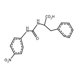 O=C(Nc1ccc([N+](=O)[O-])cc1)NC(Cc1ccccc1)C(=O)O